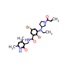 C=CC(=O)N1CCC(N(CC)c2cc(Br)cc(C(=O)NCc3c(C)cc(C)[nH]c3=O)c2Br)C1